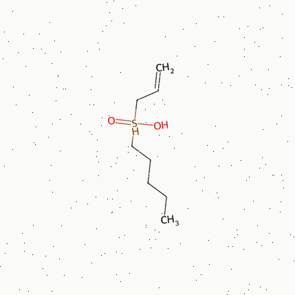 C=CC[SH](=O)(O)CCCCC